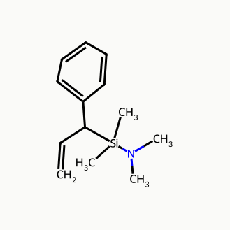 C=CC(c1ccccc1)[Si](C)(C)N(C)C